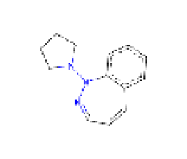 C1=Cc2ccccc2N(N2CCCC2)N=C1